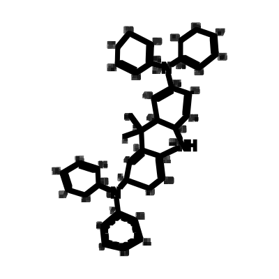 CC1(C)C2=CC(N(c3ccccc3)C3C=CC=CC3)CC=C2NC2C=CC(N(C3=CCCC=C3)C3=CC=CCC3)=CC21